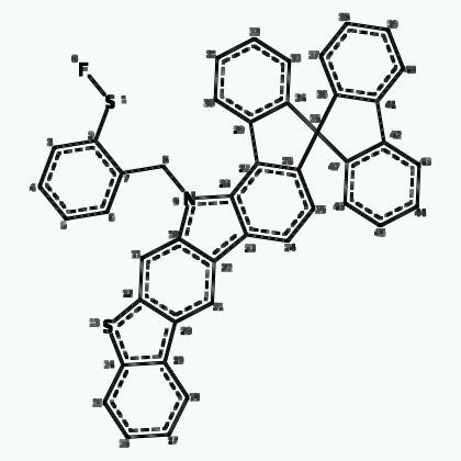 FSc1ccccc1Cn1c2cc3sc4ccccc4c3cc2c2ccc3c(c21)-c1ccccc1C31c2ccccc2-c2ccccc21